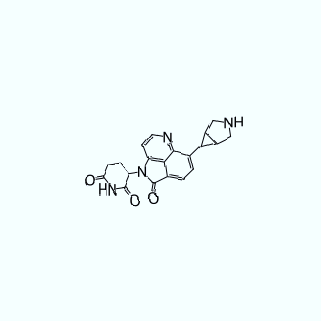 O=C1CCC(N2C(=O)c3ccc(C4C5CNCC54)c4nccc2c34)C(=O)N1